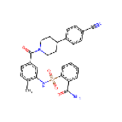 Cc1ccc(C(=O)N2CCC(c3ccc(C#N)cc3)CC2)cc1NS(=O)(=O)c1ccccc1C(N)=O